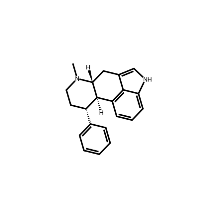 CN1CC[C@@H](c2ccccc2)[C@@H]2c3cccc4[nH]cc(c34)C[C@H]21